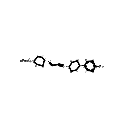 CCCCC[Si@H]1CC[C@H](C=CC#C[C@H]2CC[C@H](c3ccc(F)cc3)CC2)CC1